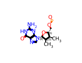 C[C@@H]1[C@H](C)[C@@H](COP=O)O[C@H]1n1cnc2c(=O)[nH]c(N)nc21